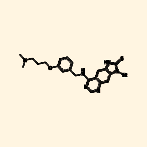 CCn1c(=S)[nH]c2cc3c(NCc4cccc(OCCCN(C)C)c4)ncnc3cc21